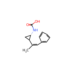 CC(=Cc1ccccc1)C1C[C@@H]1NC(=O)O